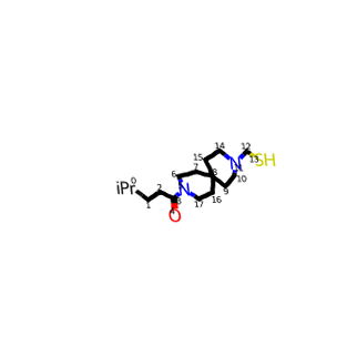 CC(C)CCC(=O)N1CCC2(CCN(CS)CC2)CC1